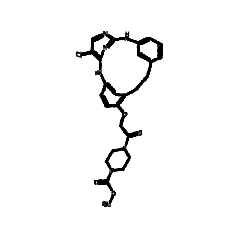 CC(C)(C)OC(=O)N1CCN(C(=O)COc2ccc3cc2CCc2cccc(c2)Nc2ncc(Cl)c(n2)N3)CC1